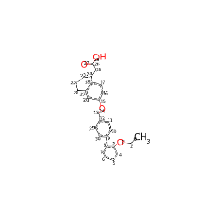 CCOc1ccccc1-c1ccc(COc2ccc3c(c2)CCCC3CC(=O)O)cc1